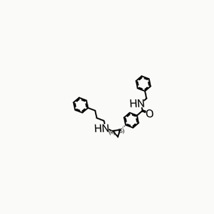 O=C(NCc1ccccc1)c1ccc([C@@H]2C[C@H]2NCCCc2ccccc2)cc1